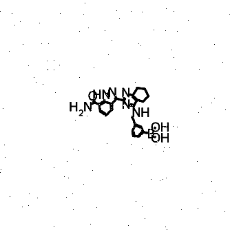 NC(=O)c1cccc2c(-c3nc4c(c(NCc5cccc(B(O)O)c5)n3)CCCC4)n[nH]c12